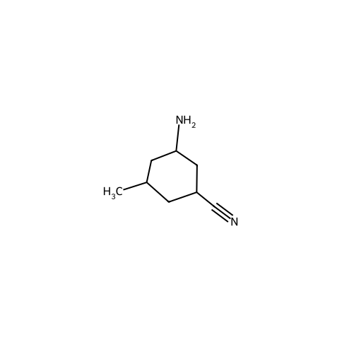 CC1CC(N)CC(C#N)C1